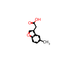 Cc1ccc2occ(CC(=O)O)c2c1